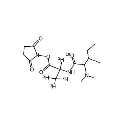 [2H]C([2H])([2H])C([2H])(NC(=[18O])C(C(C)CC)N(C)C)C(=O)ON1C(=O)CCC1=O